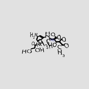 CC(=O)C1=C(O)/C(=C(\C)Nc2cc(N)cc(NC(=O)C(O)CO)c2)C(=O)OC1=O